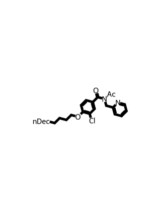 CCCCCCCCCCCCCCOc1ccc(C(=O)N(Cc2ccccn2)C(C)=O)cc1Cl